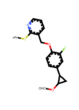 CCCSc1ncccc1COc1ccc(C2CC2OC=O)cc1F